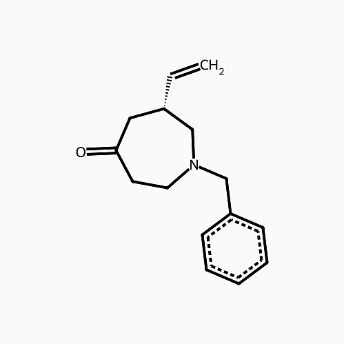 C=C[C@H]1CC(=O)CCN(Cc2ccccc2)C1